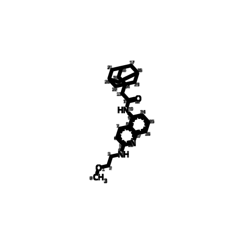 COCCNc1ccc2c(NC(=O)CC34CC5CC(CC(C5)C3)C4)cccc2n1